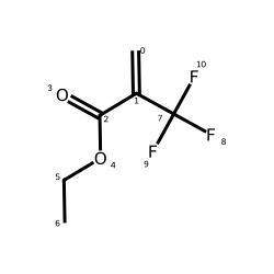 C=C(C(=O)OCC)C(F)(F)F